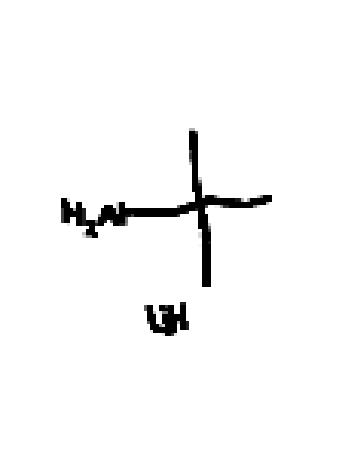 C[C](C)(C)[AlH2].[LiH]